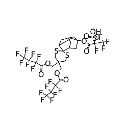 O=C(OCC1(COC(=O)C(F)(F)C(F)(F)C(F)(F)F)CSC2(SC1)C1CC3CC2CC(OC(=O)C(F)(C(F)(F)F)S(=O)(=O)O)(C3)C1)C(F)(F)C(F)(F)C(F)(F)F